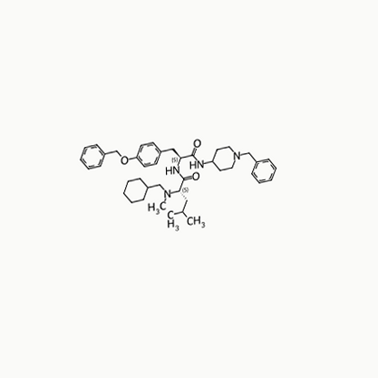 CC(C)C[C@@H](C(=O)N[C@@H](Cc1ccc(OCc2ccccc2)cc1)C(=O)NC1CCN(Cc2ccccc2)CC1)N(C)CC1CCCCC1